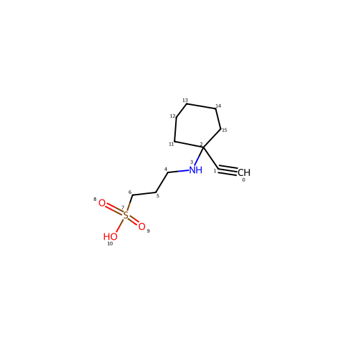 C#CC1(NCCCS(=O)(=O)O)CCCCC1